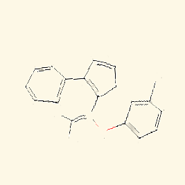 C[C](C)=[Ti]([O]c1cccc(C(C)(C)C)c1)[C]1=C(c2ccccc2)C=CC1.Cl.Cl